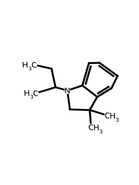 CCC(C)N1CC(C)(C)c2ccccc21